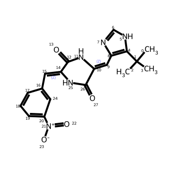 CC(C)(C)c1[nH]cnc1/C=c1\[nH]c(=O)/c(=C/c2cccc([N+](=O)[O-])c2)[nH]c1=O